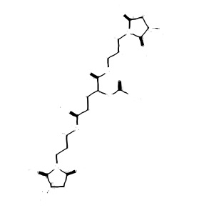 CC(=O)NC(CCC(=O)NCCCN1C(=O)C[C@@H](C)C1=O)C(=O)NCCCN1C(=O)C[C@@H](C)C1=O